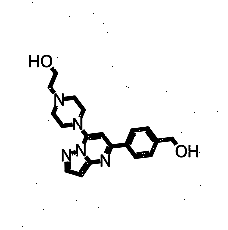 OCCN1CCN(c2cc(-c3ccc(CO)cc3)nc3ccnn23)CC1